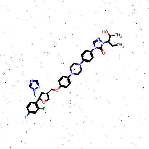 CCC([C@H](C)O)n1ncn(-c2ccc(N3CCN(c4ccc(OC[C@@H]5CO[C@@](Cn6cncn6)(c6ccc(F)cc6F)C5)cc4)CC3)cc2)c1=O